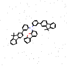 CC1(C)c2ccccc2-c2ccc(-c3cccc(N(c4cccc(-c5ccc6c(c5)C(C)(C)c5ccccc5-6)c4)c4cccc5c4oc4ccccc45)c3)cc21